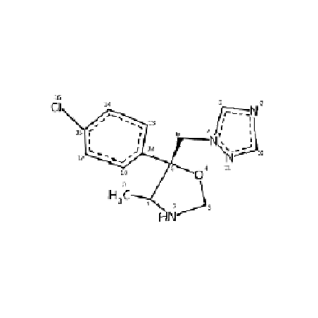 CC1NCO[C@@]1(Cn1cncn1)c1ccc(Cl)cc1